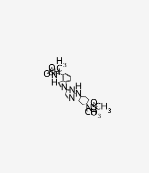 CC(N[SH](=O)=O)c1cccc2c1ccn2-c1ccnc(NC2CCC(N(C)S(C)(=O)=O)CC2)n1